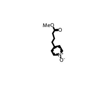 COC(=O)CCCc1cc[n+]([O-])cc1